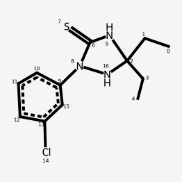 CCC1(CC)NC(=S)N(c2cccc(Cl)c2)N1